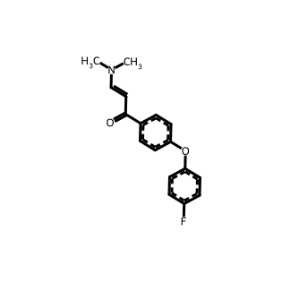 CN(C)/C=C/C(=O)c1ccc(Oc2ccc(F)cc2)cc1